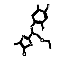 CCOCN(Sc1cc(C)c(F)cc1F)c1nc(C)c(Cl)s1